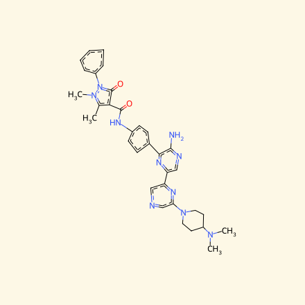 Cc1c(C(=O)Nc2ccc(-c3nc(-c4cncc(N5CCC(N(C)C)CC5)n4)cnc3N)cc2)c(=O)n(-c2ccccc2)n1C